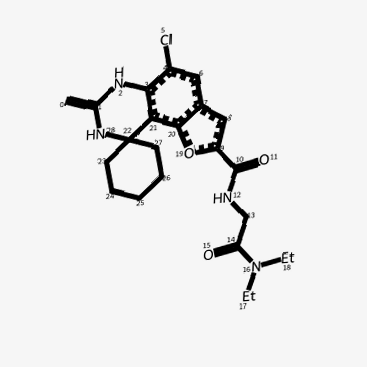 C=C1Nc2c(Cl)cc3cc(C(=O)NCC(=O)N(CC)CC)oc3c2C2(CCCCC2)N1